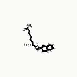 NC(=O)CCCCC[C@H](N)c1ncc(-c2ccc3ccccc3c2)[nH]1